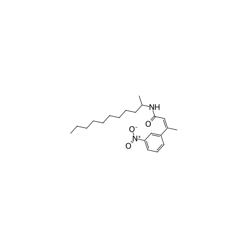 CCCCCCCCCC(C)NC(=O)/C=C(/C)c1cccc([N+](=O)[O-])c1